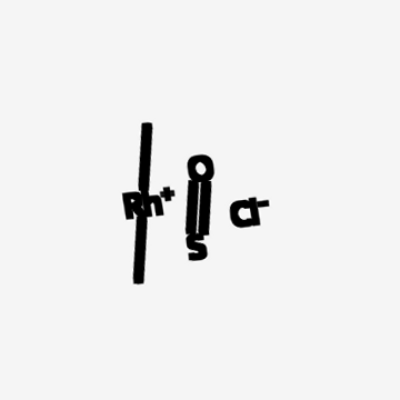 O=S.[CH3][Rh+][CH3].[Cl-]